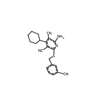 N#Cc1cccc(CSc2nc(N)c(C#N)c(C3CCCCC3)c2C#N)c1